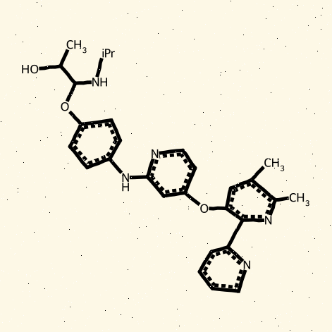 Cc1cc(Oc2ccnc(Nc3ccc(OC(NC(C)C)C(C)O)cc3)c2)c(-c2ccccn2)nc1C